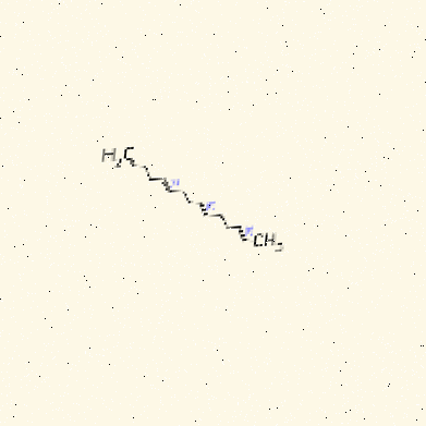 C=CCC/C=C/CC/C=C/CC/C=C/C